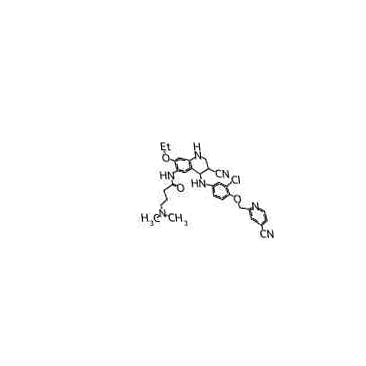 CCOc1cc2c(cc1NC(=O)CCCN(C)C)C(Nc1ccc(OCc3cc(C#N)ccn3)c(Cl)c1)C(C#N)CN2